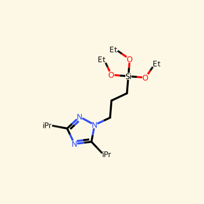 CCO[Si](CCCn1nc(C(C)C)nc1C(C)C)(OCC)OCC